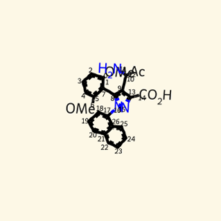 COc1cccc(OC)c1-c1c(C(N)C(C)=O)c(C(=O)O)nn1-c1cccc2ccccc12